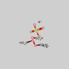 O=S(=O)(O)OOS(=O)(=O)O.O=S(=O)([O-])O.O=S(=O)([O-])[O-].[K+].[K+].[K+]